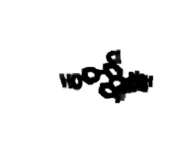 COc1c(F)cccc1-c1c(/C(N)=N/O)cc(Cl)cc1-c1ccc(O)cc1